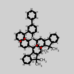 CC1(C)c2ccccc2-c2cc(N(c3ccc(-c4ccccc4)cc3-c3ccccc3)c3ccccc3-c3cccc4c3-c3ccccc3C4(C)C)ccc21